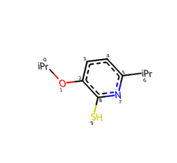 CC(C)Oc1ccc(C(C)C)nc1S